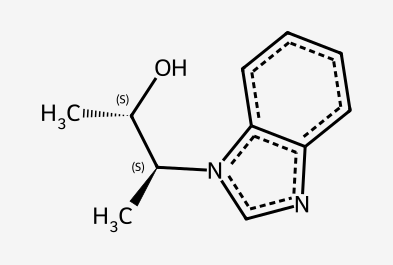 C[C@H](O)[C@H](C)n1cnc2ccccc21